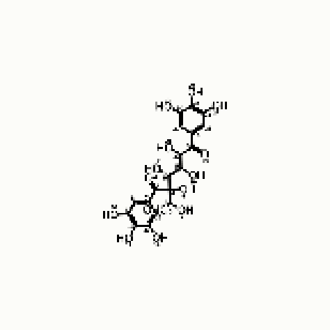 O=C[C@H](O)[C@](O)(C(=O)c1cc(O)c(O)c(O)c1)[C@H](O)[C@H](O)C(O)C(=O)c1cc(O)c(O)c(O)c1